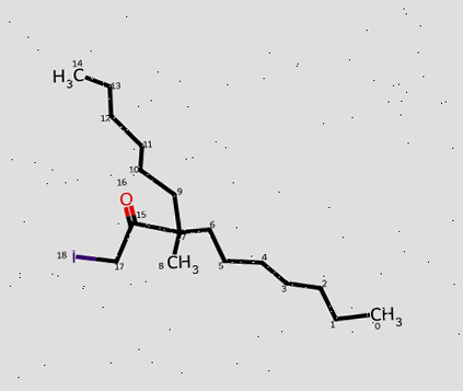 CCCCCCCC(C)(CCCCCC)C(=O)CI